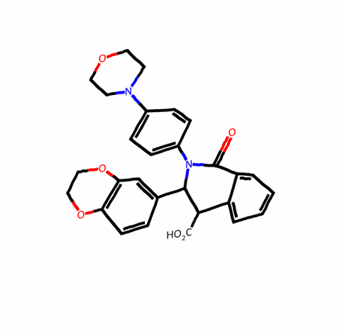 O=C(O)C1c2ccccc2C(=O)N(c2ccc(N3CCOCC3)cc2)C1c1ccc2c(c1)OCCO2